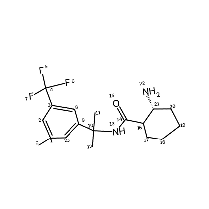 Cc1cc(C(F)(F)F)cc(C(C)(C)NC(=O)C2CCCC[C@H]2N)c1